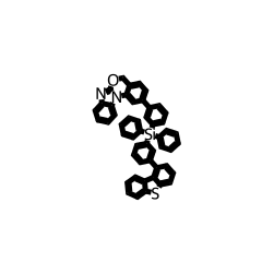 c1ccc([Si](c2ccccc2)(c2cccc(-c3ccc4c(c3)-n3c(nc5ccccc53)OC4)c2)c2cccc(-c3cccc4sc5ccccc5c34)c2)cc1